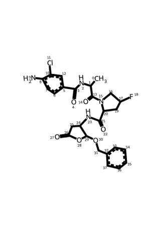 CC(NC(=O)c1ccc(N)c(Cl)c1)C(=O)N1CC(F)CC1C(=O)NC1CC(=O)OC1OCc1ccccc1